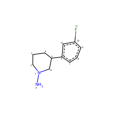 NN1CCCC(c2cccc(F)c2)C1